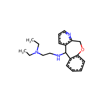 CCN(CC)CCNC1c2ccccc2OCc2ncccc21